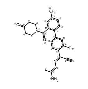 C#C/C(=N\C=C(/C)N)c1ccc(-c2ccc(C(F)(F)F)cc2C(=O)N2CCC(=O)CC2)cc1F